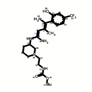 CC(/C=C(\N)NC1CCCN(CCNC(=O)OC(C)(C)C)C1)=C(/N)c1ccc(C(F)(F)F)cc1O